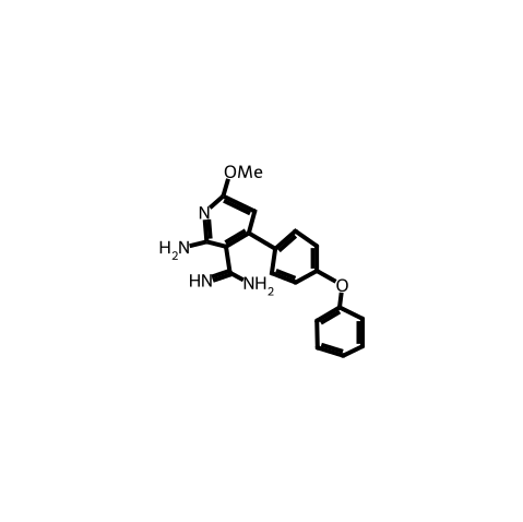 COc1cc(-c2ccc(Oc3ccccc3)cc2)c(C(=N)N)c(N)n1